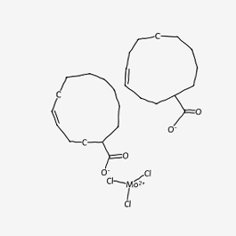 O=C([O-])C1CCC=CCCCCCCC1.O=C([O-])C1CCC=CCCCCCCC1.[Cl][Mo+2]([Cl])[Cl]